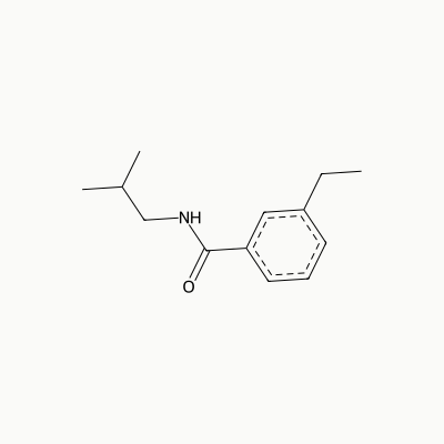 CCc1cccc(C(=O)NCC(C)C)c1